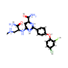 CNCC(Nc1cc(C(N)=O)nc(-c2ccc(Oc3ccc(Cl)cc3F)cc2)n1)C(N)=O